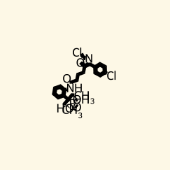 CCC(CC)(c1ccccc1NC(=O)CCCc1oc(Cl)nc1-c1ccc(Cl)cc1)P(=O)(O)O